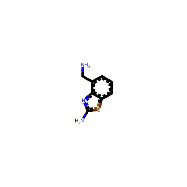 NCc1cccc2sc(N)nc12